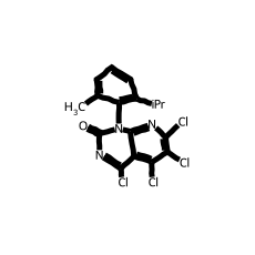 Cc1cccc(C(C)C)c1-n1c(=O)nc(Cl)c2c(Cl)c(Cl)c(Cl)nc21